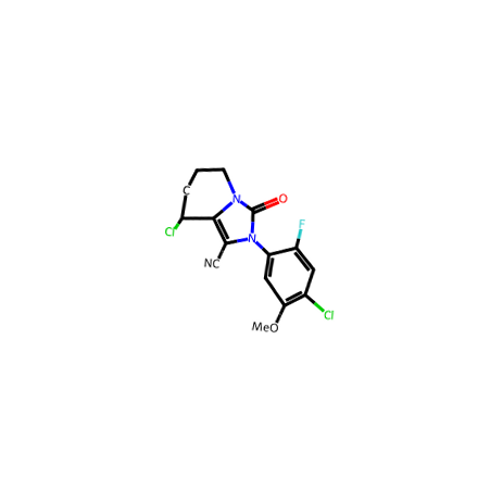 COc1cc(-n2c(C#N)c3n(c2=O)CCCC3Cl)c(F)cc1Cl